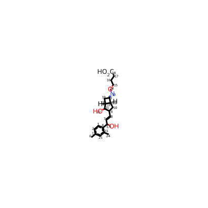 Cc1ccc(C(O)C=CC2C[C@@H]3C(=NOCCCC(=O)O)C[C@H]3C2O)c(C)c1